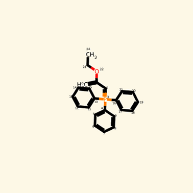 C=C(C=P(c1ccccc1)(c1ccccc1)c1ccccc1)OCC